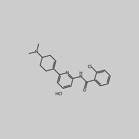 CN(C)C1CC=C(c2cccc(NC(=O)c3ccccc3Cl)n2)CC1.Cl